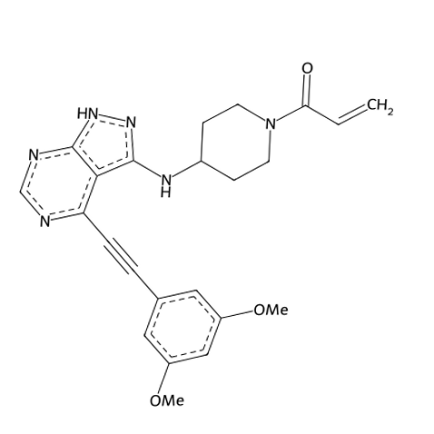 C=CC(=O)N1CCC(Nc2n[nH]c3ncnc(C#Cc4cc(OC)cc(OC)c4)c23)CC1